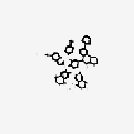 Cc1c(B2c3cc4c(cc3N(C3C=C5C(=CC3C)C(C)(C)CCC5(C)C)c3cc(C5c6ccc(-c7ccccc7)cc6C6(C)CCCCC6(C)[C@H]5C)cc(Nc5ccc(C(C)(C)C)cc5)c32)C(C)(C)CCC4(C)C)oc2ccc(C(C)(C)C)cc12